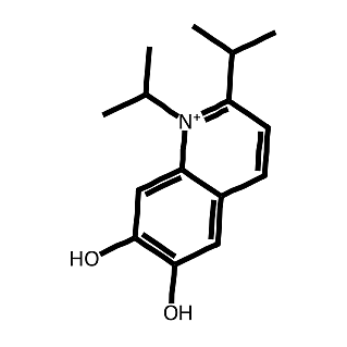 CC(C)c1ccc2cc(O)c(O)cc2[n+]1C(C)C